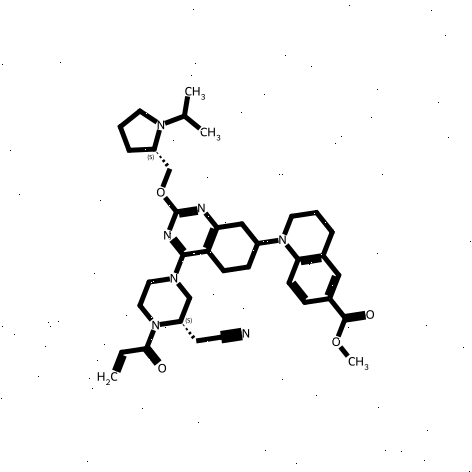 C=CC(=O)N1CCN(c2nc(OC[C@@H]3CCCN3C(C)C)nc3c2CCC(N2CCCc4cc(C(=O)OC)ccc42)C3)C[C@@H]1CC#N